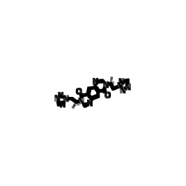 C[C@H](Cn1ncnn1)n1cnc2cc3c(=O)n([C@H](C)Cn4ncnn4)cnc3cc2c1=O